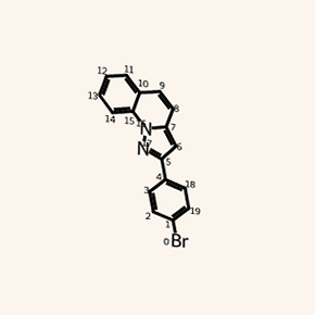 Brc1ccc(-c2cc3ccc4ccccc4n3n2)cc1